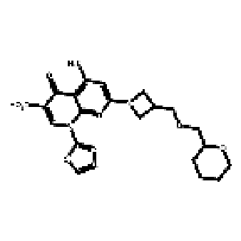 Cc1cc(N2CC(COCC3CCCCO3)C2)nc2c1c(=O)c(C(=O)O)cn2-c1nccs1